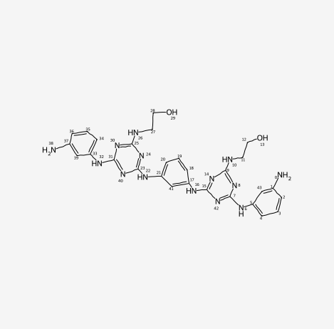 Nc1cccc(Nc2nc(NCCO)nc(Nc3cccc(Nc4nc(NCCO)nc(Nc5cccc(N)c5)n4)c3)n2)c1